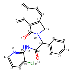 C=C/C=C\C1=C(C=C)C(=O)N(C(C(=O)Nc2ncccc2Cl)c2ccccc2)C1